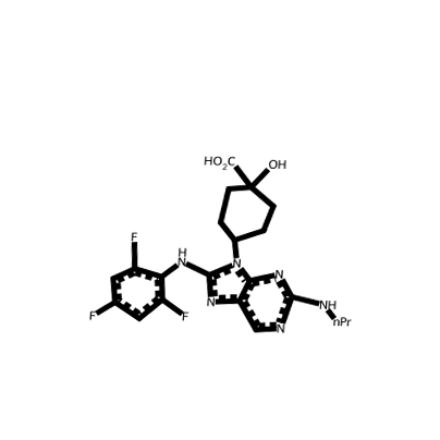 CCCNc1ncc2nc(Nc3c(F)cc(F)cc3F)n(C3CCC(O)(C(=O)O)CC3)c2n1